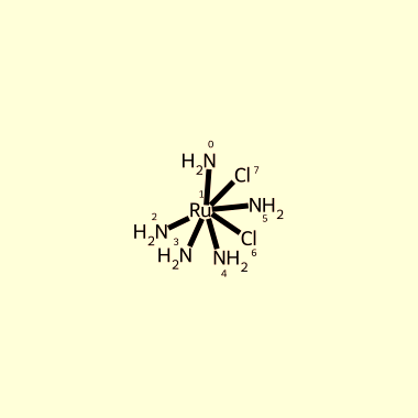 [NH2][Ru]([NH2])([NH2])([NH2])([NH2])([Cl])[Cl]